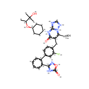 CCCc1c(Cc2ccc(-c3ccccc3-c3noc(=O)[nH]3)cc2F)c(=O)n([C@H]2CC[C@H](OC(C)C(C)(C)O)CC2)c2ncnn12.[KH]